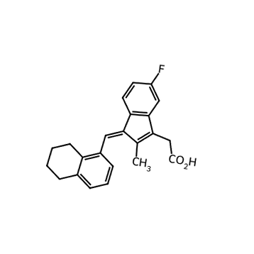 CC1=C(CC(=O)O)c2cc(F)ccc2C1=Cc1cccc2c1CCCC2